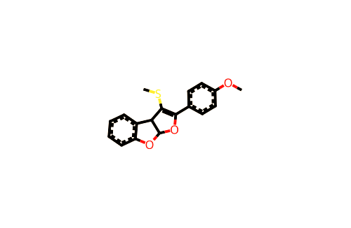 COc1ccc(C2=C(SC)C3c4ccccc4OC3O2)cc1